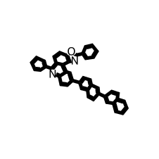 c1ccc(-c2nc3c(ccc4c(-c5ccccc5)nc5ccc(-c6ccc7cc(-c8ccc9ccccc9c8)ccc7c6)cc5c43)o2)cc1